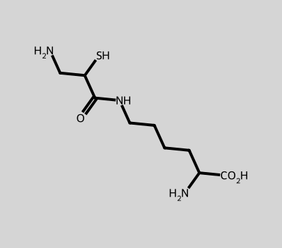 NCC(S)C(=O)NCCCCC(N)C(=O)O